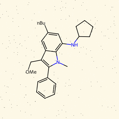 CCCCc1cc(NC2CCCC2)c2c(c1)c(COC)c(-c1ccccc1)n2C